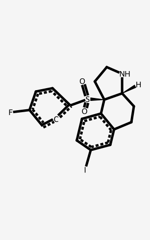 O=S(=O)(c1ccc(F)cc1)[C@@]12CCN[C@@H]1CCc1cc(I)ccc12